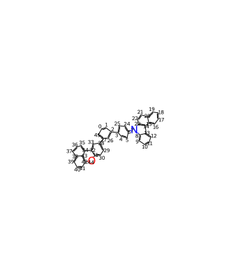 c1cc(-c2ccc(-n3c4ccccc4c4c5ccccc5ccc43)cc2)cc(-c2ccc3c(c2)-c2cccc4cccc(c24)O3)c1